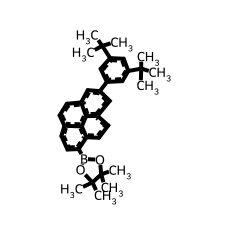 CC(C)(C)c1cc(-c2cc3ccc4ccc(B5OC(C)(C)C(C)(C)O5)c5ccc(c2)c3c45)cc(C(C)(C)C)c1